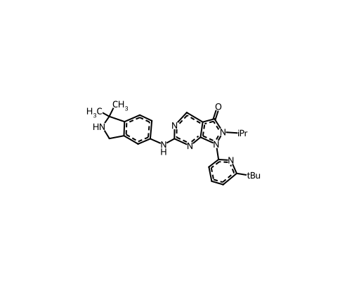 CC(C)n1c(=O)c2cnc(Nc3ccc4c(c3)CNC4(C)C)nc2n1-c1cccc(C(C)(C)C)n1